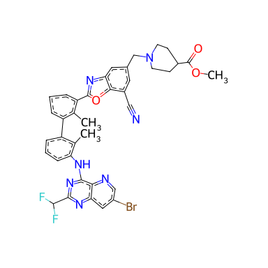 COC(=O)C1CCN(Cc2cc(C#N)c3oc(-c4cccc(-c5cccc(Nc6nc(C(F)F)nc7cc(Br)cnc67)c5C)c4C)nc3c2)CC1